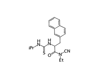 CCN(C#N)C(=O)C(Cc1ccc2ccccc2c1)NC(=S)NC(C)C